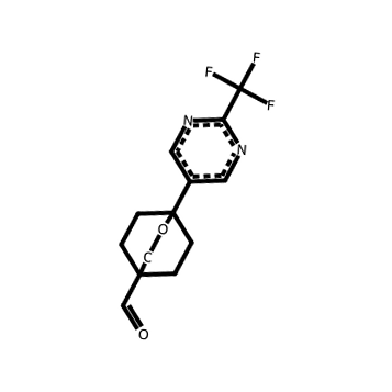 O=CC12CCC(c3cnc(C(F)(F)F)nc3)(CC1)OC2